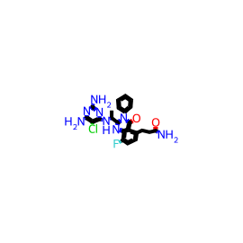 CC(Nc1nc(N)nc(N)c1Cl)c1nc2c(F)ccc(CCC(N)=O)c2c(=O)n1-c1ccccc1